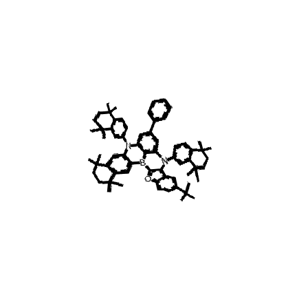 CC(C)(C)c1ccc2oc3c(c2c1)N(c1ccc2c(c1)C(C)(C)CCC2(C)C)c1cc(-c2ccccc2)cc2c1B3c1cc3c(cc1N2c1ccc2c(c1)C(C)(C)CCC2(C)C)C(C)(C)CCC3(C)C